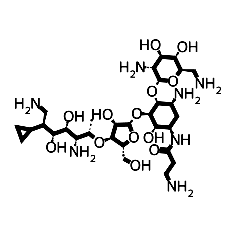 C[C@H](O[C@H]1[C@@H](O)[C@H](O[C@@H]2[C@@H](O)[C@H](NC(=O)CCN)C[C@H](N)[C@H]2O[C@H]2O[C@H](CN)[C@@H](O)[C@H](O)[C@H]2N)O[C@@H]1CO)[C@H](N)[C@@H](O)[C@H](O)[C@H](CN)C1CC1